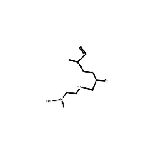 C=CC(C)CCC(CC)CNCCN(C)CCC